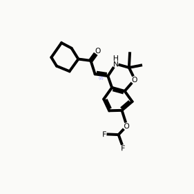 CC1(C)N/C(=C\C(=O)C2CCCCC2)c2ccc(OC(F)F)cc2O1